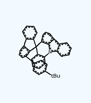 CC(C)(C)c1ccc(-c2cccc3c2C2(c4ccccc4-3)c3ccccc3-n3c4ccccc4c4cccc2c43)cc1